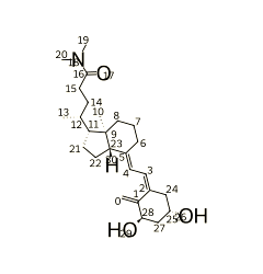 C=C1/C(=C\C=C2CCC[C@]3(C)[C@@H]([C@H](C)CCC(=O)N(C)C)CC[C@@H]23)C[C@H](O)C[C@H]1O